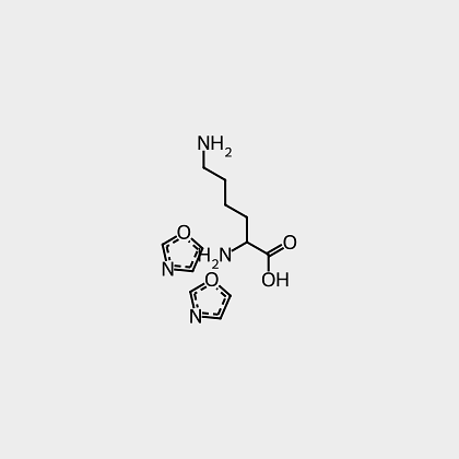 NCCCCC(N)C(=O)O.c1cocn1.c1cocn1